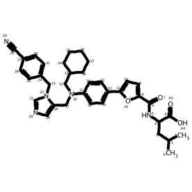 CC(C)CC(NC(=O)c1ccc(-c2ccc(N(Cc3cncn3Cc3ccc(C#N)cc3)CC3CCCCC3)cc2)o1)C(=O)O